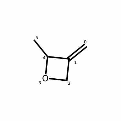 C=C1COC1C